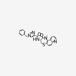 CN1C(=O)[C@@H](NC(=O)c2cn(Cc3ccccc3)cn2)CSc2ccc3ncccc3c21